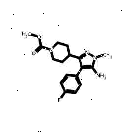 COC(=O)N1CCC(c2nn(C)c(N)c2-c2ccc(F)cc2)CC1